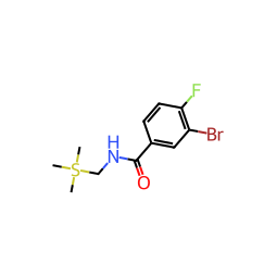 CS(C)(C)CNC(=O)c1ccc(F)c(Br)c1